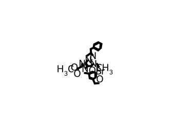 CCN1C(=O)c2c(nc(C(=O)OC)n2Cc2cc(Br)c3c(c2)CCO3)N2CC(Cc3ccccc3)N=C12